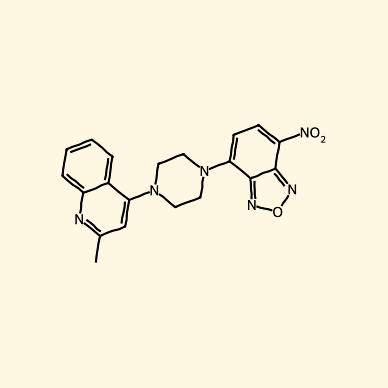 Cc1cc(N2CCN(c3ccc([N+](=O)[O-])c4nonc34)CC2)c2ccccc2n1